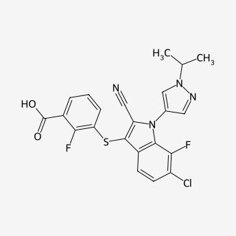 CC(C)n1cc(-n2c(C#N)c(Sc3cccc(C(=O)O)c3F)c3ccc(Cl)c(F)c32)cn1